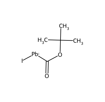 CC(C)(C)O[C](=O)[Pb][I]